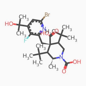 C[C@@H]1C(C(C)(C)C)[C@](Cc2nc(Br)cc(C(C)(C)O)c2F)(C(=O)O)C(C(C)(C)C)CN1C(=O)O